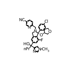 CCCC(O)(c1cc(F)c2c(c1)CN(Cc1ccc(C#N)cn1)[C@@]2(O[C@H]1CCOC1)c1ccc(Cl)cc1)c1cn(C)cn1